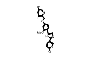 COc1cc(OCc2ncc(Br)cc2F)ccc1-c1cnc(-c2ccc(Cl)nc2)[nH]1